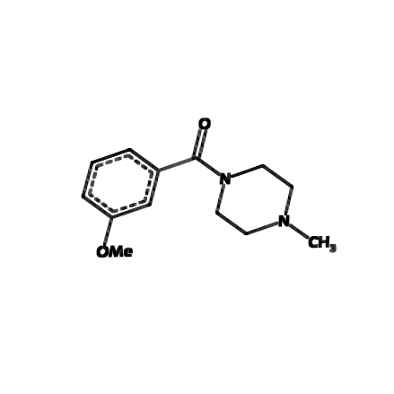 COc1cccc(C(=O)N2CCN(C)CC2)c1